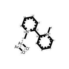 CC(=O)[O-].CC(=O)[O-].C[n+]1ccccc1-c1cccc[n+]1C